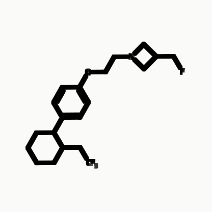 FCC1CN(CCOc2ccc(C3CCCCC3CC(F)(F)F)cc2)C1